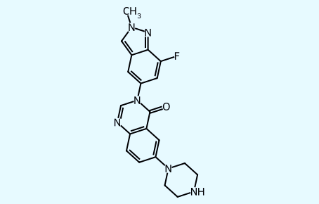 Cn1cc2cc(-n3cnc4ccc(N5CCNCC5)cc4c3=O)cc(F)c2n1